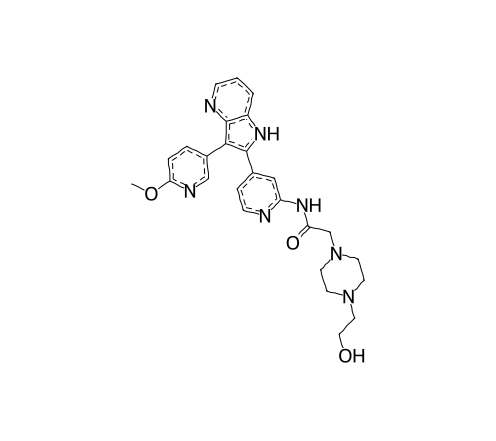 COc1ccc(-c2c(-c3ccnc(NC(=O)CN4CCN(CCO)CC4)c3)[nH]c3cccnc23)cn1